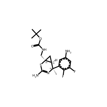 CC(C)(C)OC(=O)NC[C@]12C[C@H]1[C@@](C)(c1cc(N)cc(F)c1F)N=C(N)S2